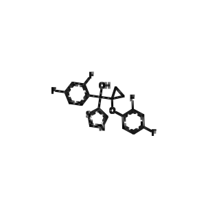 OC(c1cncs1)(c1ccc(F)cc1F)C1(Oc2ccc(F)cc2F)CC1